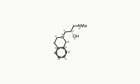 CNC[C@H](O)CN1CCc2ccccc2C1